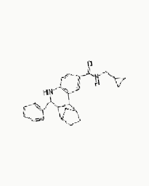 O=C(NCC1CC1)c1ccc2c(c1)C1C3CCC(C3)C1C(c1ccccc1)N2